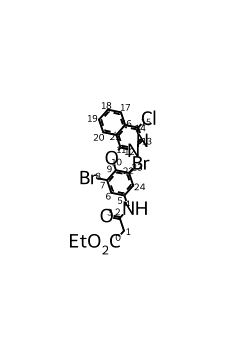 CCOC(=O)CC(=O)Nc1cc(Br)c(Oc2nnc(Cl)c3ccccc23)c(Br)c1